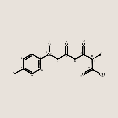 Cc1ccc([S+]([O-])CC(=O)CC(=O)[C@@H](C)C(=O)O)cc1